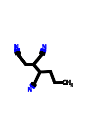 CCCC(C#N)C(C#N)CC#N